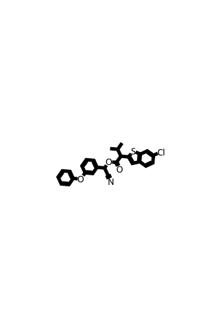 CC(C)C(C(=O)OC(C#N)c1cccc(Oc2ccccc2)c1)c1cc2ccc(Cl)cc2s1